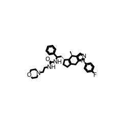 C[C@@H]1C2=C(CC[C@@H]2CC(NC(=O)NCCN2CCOCC2)c2ccccc2)Cc2c1cnn2-c1ccc(F)cc1